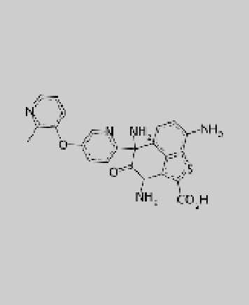 Cc1ncccc1Oc1ccc(C2(N)C(=O)C(N)c3c(C(=O)O)sc4c(N)ccc2c34)nc1